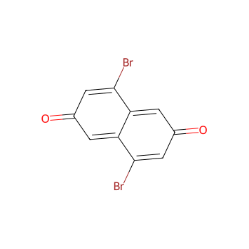 O=C1C=C(Br)C2=CC(=O)C=C(Br)C2=C1